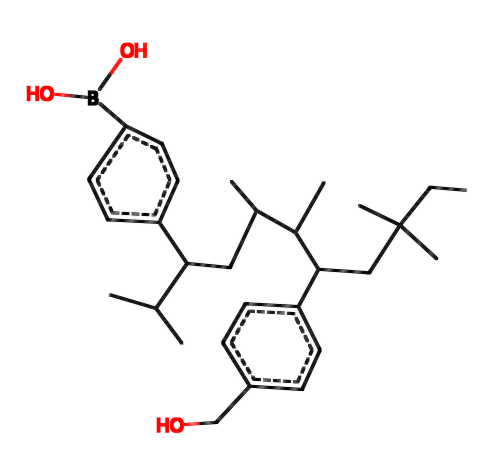 CCC(C)(C)CC(c1ccc(CO)cc1)C(C)C(C)CC(c1ccc(B(O)O)cc1)C(C)C